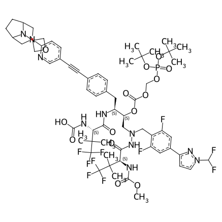 COC(=O)N[C@H](C(=O)NN(Cc1c(F)cc(-c2ccn(C(F)F)n2)cc1F)C[C@H](OC(=O)OCOP(=O)(OC(C)(C)C)OC(C)(C)C)[C@H](Cc1ccc(C#Cc2ccc(N3CC4CCC(C3)N4C3COC3)nc2)cc1)NC(=O)[C@@H](NC(=O)O)C(C)(C)C(F)(F)F)C(C)(C)C(F)(F)F